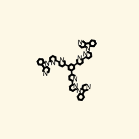 c1cc(-c2ccc(-c3cc(-c4ccc(-c5cccc(-n6c7ccccc7c7cnccc76)n5)nc4)cc(-c4ccc(-c5cccc(-n6c7ccccc7c7cnccc76)n5)nc4)c3)cn2)nc(-n2c3ccccc3c3cnccc32)c1